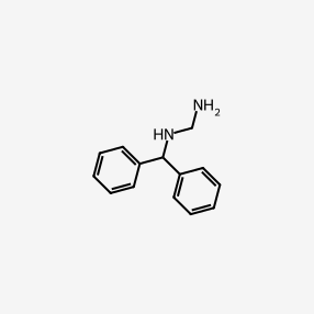 NCNC(c1ccccc1)c1ccccc1